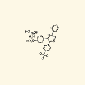 Cl.NO.O=S(=O)([O-])c1ccc(-c2nnc(-c3ccccn3)nc2-c2ccc(S(=O)(=O)O)cc2)cc1.[Na+]